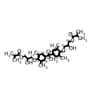 C=C(C)C(=O)OCC(O)COc1c(C)cc(C(C)(C)c2cc(C)c(OCC(O)COC(=O)C(=C)C)c(C)c2)cc1C